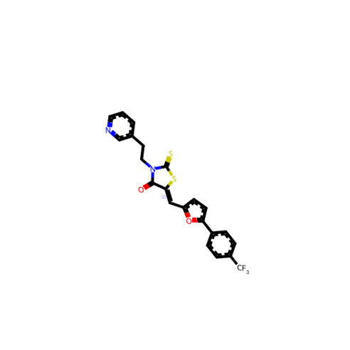 O=C1/C(=C/c2ccc(-c3ccc(C(F)(F)F)cc3)o2)SC(=S)N1CCc1cccnc1